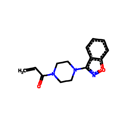 C=CC(=O)N1CCN(c2noc3ccccc23)CC1